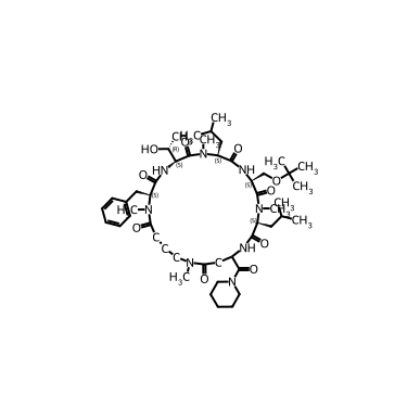 CC(C)C[C@H]1C(=O)NC(C(=O)N2CCCCC2)CC(=O)N(C)CCCC(=O)N(C)[C@@H](Cc2ccccc2)C(=O)N[C@@H]([C@@H](C)O)C(=O)N(C)[C@@H](CC(C)C)C(=O)N[C@@H](COC(C)(C)C)C(=O)N1C